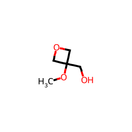 COC1(CO)COC1